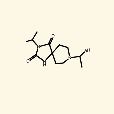 CC(S)N1CCC2(CC1)NC(=O)N(C(C)C)C2=O